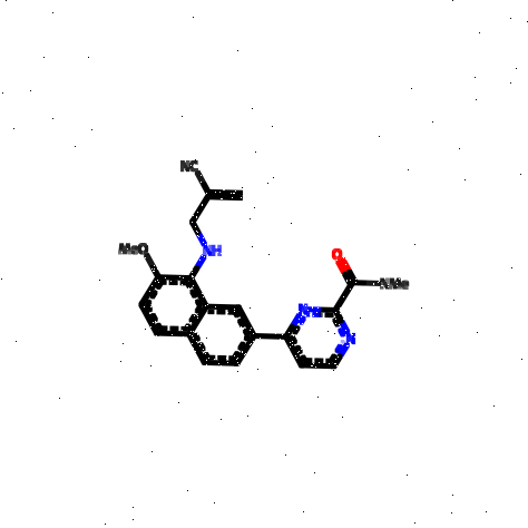 C=C(C#N)CNc1c(OC)ccc2ccc(-c3ccnc(C(=O)NC)n3)cc12